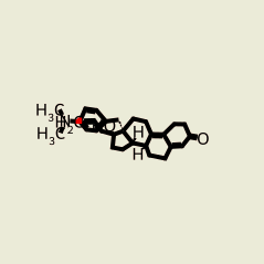 C=CC[C@]1(O)CC[C@H]2[C@@H]3CCC4=CC(=O)CCC4=C3CC[C@@]21Cc1ccc(N(C)C)cc1